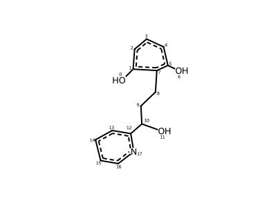 Oc1cccc(O)c1CCC(O)c1ccccn1